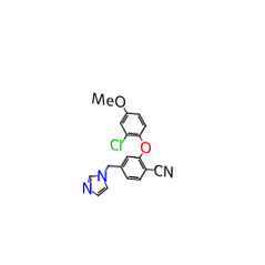 COc1ccc(Oc2cc(Cn3ccnc3)ccc2C#N)c(Cl)c1